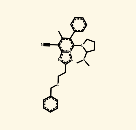 Cc1c(-c2ccccc2)c(N2CCCC2N(C)C)n2nc(CCOCc3ccccc3)nc2c1C#N